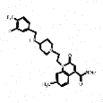 CNC(=O)c1cc(=O)n(CCN2CCC(NCc3ccc(C(F)(F)F)c(F)c3)CC2)c2cc(C)ccc12